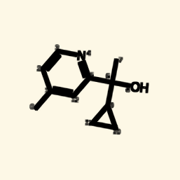 Cc1ccnc(C(C)(O)C2CC2)c1